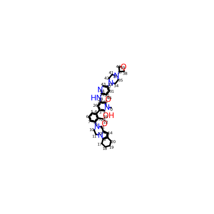 Cn1cc(-c2cccc(N3CCn4c(cc5c4CCCC5)C3=O)c2CO)cc(Nc2ccc(N3CCN(C4COC4)CC3)cn2)c1=O